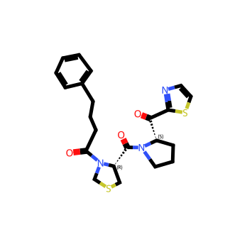 O=C(c1nccs1)[C@@H]1CCCN1C(=O)[C@@H]1CSCN1C(=O)CCCc1ccccc1